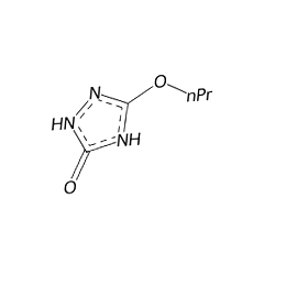 CCCOc1n[nH]c(=O)[nH]1